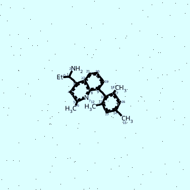 CCC(N)c1cc(C)nc2c(-c3c(C)cc(C)cc3C)cccc12